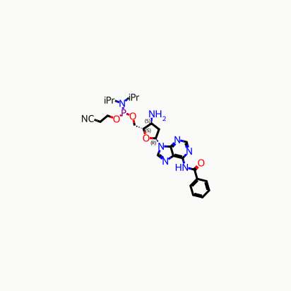 CC(C)N(C(C)C)P(OCCC#N)OC[C@H]1O[C@@H](n2cnc3c(NC(=O)c4ccccc4)ncnc32)C[C@@H]1N